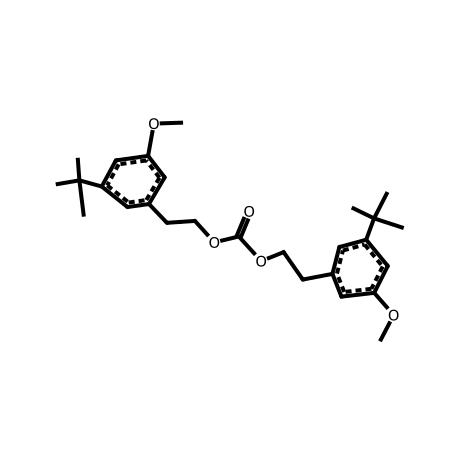 COc1cc(CCOC(=O)OCCc2cc(OC)cc(C(C)(C)C)c2)cc(C(C)(C)C)c1